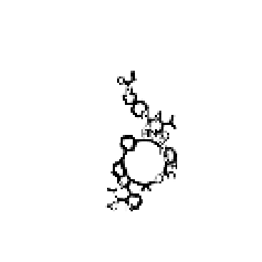 C=CC(=O)N1CCC2(CCN(C(=O)N(C)C(C(=O)N[C@H]3Cc4cccc(c4)-c4ccc5c(c4)c(c(-c4cccnc4[C@H](C)OC)n5CC)CC(C)(C)COC(=O)[C@@H]4CCCN(N4)C3=O)C(C)C)CC2)C1